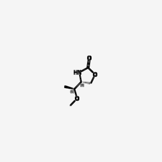 CO[C@@H](C)[C@H]1COC(=O)N1